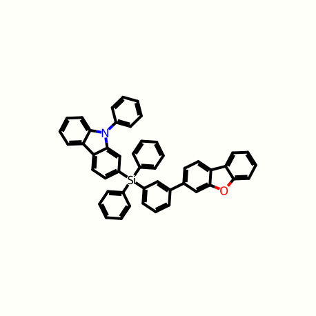 c1ccc(-n2c3ccccc3c3ccc([Si](c4ccccc4)(c4ccccc4)c4cccc(-c5ccc6c(c5)oc5ccccc56)c4)cc32)cc1